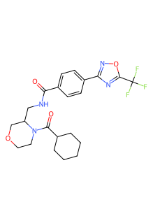 O=C(NCC1COCCN1C(=O)C1CCCCC1)c1ccc(-c2noc(C(F)(F)F)n2)cc1